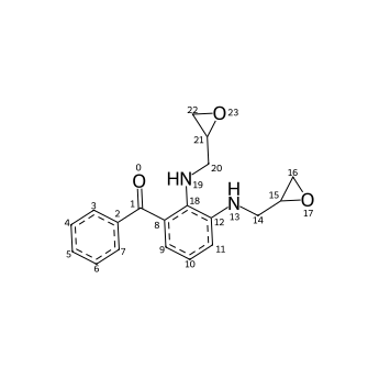 O=C(c1ccccc1)c1cccc(NCC2CO2)c1NCC1CO1